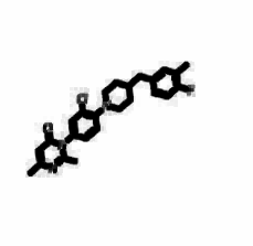 Cc1cc(=O)n(-c2ccc(N3CCC(Cc4ccc(F)c(C)c4)CC3)c(Cl)c2)c(C)n1